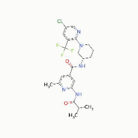 Cc1cc(C(=O)NC2CCCN(c3ncc(Cl)cc3C(F)(F)F)C2)cc(NC(=O)C(C)C)n1